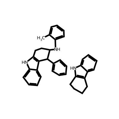 Cc1ccccc1NC1CCc2[nH]c3ccccc3c2C1c1ccccc1.c1ccc2c3c([nH]c2c1)CCCC3